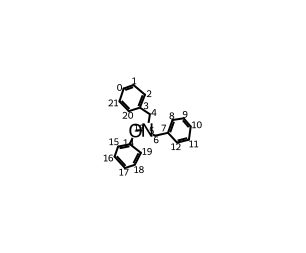 c1ccc(CN(Cc2ccccc2)Oc2ccccc2)cc1